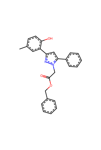 Cc1ccc(O)c(-c2cc(-c3ccccc3)n(CC(=O)OCc3ccccc3)n2)c1